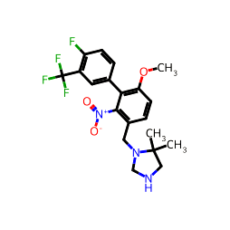 COc1ccc(CN2CNCC2(C)C)c([N+](=O)[O-])c1-c1ccc(F)c(C(F)(F)F)c1